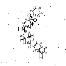 O=S(=O)(c1ccc(N[C@H]2C[C@@H]3CN(Cc4ccc5cc[nH]c5c4)C[C@@H]3C2)nn1)C1CCCCC1